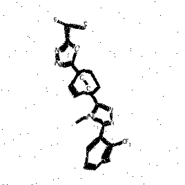 Cn1c(-c2ccccc2C(F)(F)F)nnc1C12CCC(c3nnc(C(F)F)o3)(CC1)CC2